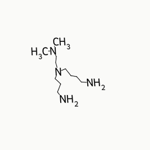 CN(C)CCN(CCCN)CCCCN